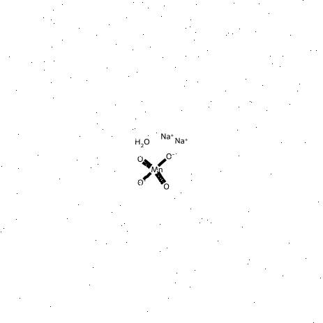 O.[Na+].[Na+].[O]=[Mn](=[O])([O-])[O-]